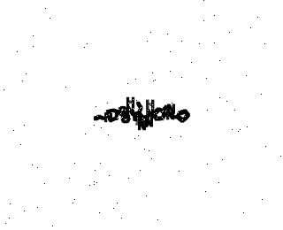 C=CCN1CCC(OC(=O)Nc2cn3ncnc(Nc4ccc5c(cnn5Cc5ccccc5)c4)c3c2CC)CC1